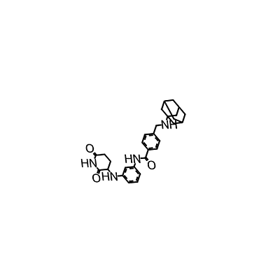 O=C1CCC(Nc2cccc(NC(=O)c3ccc(CNC45CC6CC(CC(C6)C4)C5)cc3)c2)C(=O)N1